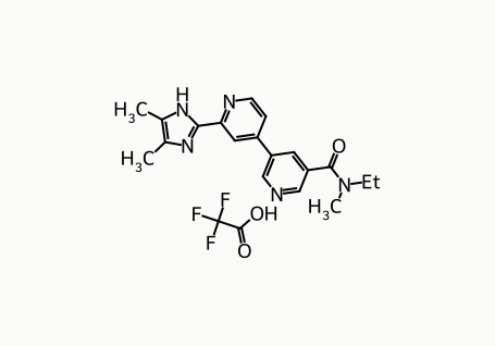 CCN(C)C(=O)c1cncc(-c2ccnc(-c3nc(C)c(C)[nH]3)c2)c1.O=C(O)C(F)(F)F